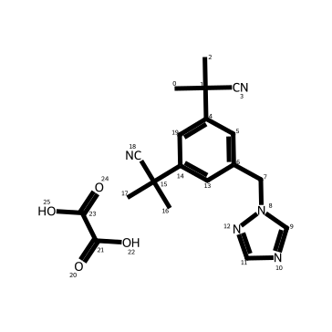 CC(C)(C#N)c1cc(Cn2cncn2)cc(C(C)(C)C#N)c1.O=C(O)C(=O)O